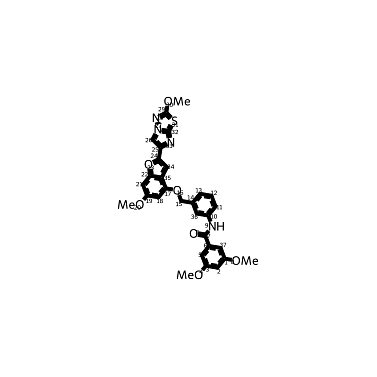 COc1cc(OC)cc(C(=O)Nc2cccc(COc3cc(OC)cc4oc(-c5cn6nc(OC)sc6n5)cc34)c2)c1